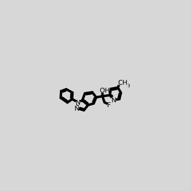 Cc1ccnc(C(O)(CF)c2ccc3c(cnn3-c3ccccc3)c2)c1